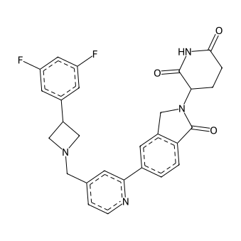 O=C1CCC(N2Cc3cc(-c4cc(CN5CC(c6cc(F)cc(F)c6)C5)ccn4)ccc3C2=O)C(=O)N1